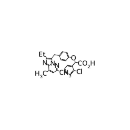 CCc1nc2c(C)cc(C)nn2c1Cc1ccc(OC(C(=O)O)c2ccccc2Cl)cc1